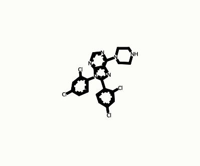 Clc1ccc(-c2nc3c(N4CCNCC4)ncnc3n2-c2ccc(Cl)cc2Cl)c(Cl)c1